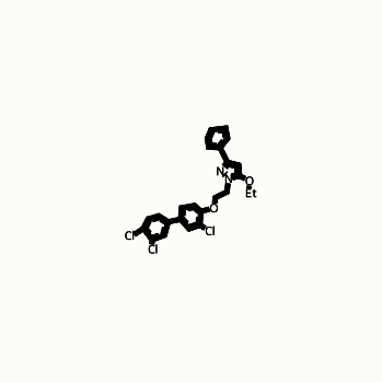 CCOc1cc(-c2ccccc2)nn1CCOc1ccc(-c2ccc(Cl)c(Cl)c2)cc1Cl